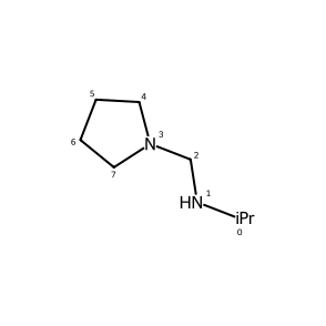 CC(C)NCN1CCCC1